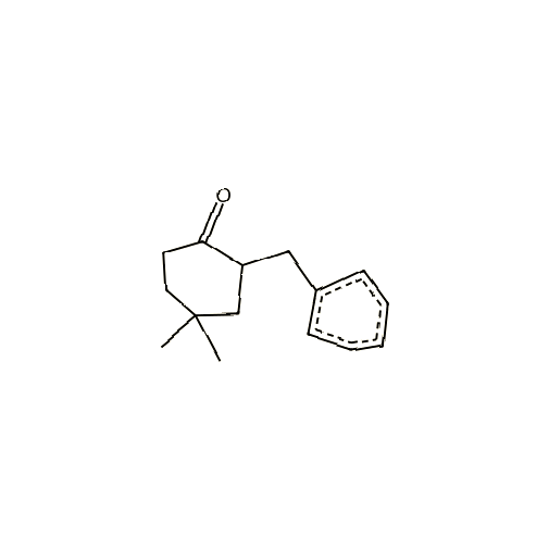 CC1(C)CCC(=O)C(Cc2ccccc2)C1